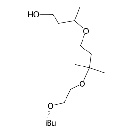 CC[C@@H](C)OCCOC(C)(C)CCOC(C)CCO